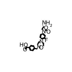 NC[C@H]1CN(c2ccc(N3CCON(Cc4ccc(C(=O)O)cc4)CC3)c(F)c2)C(=O)O1